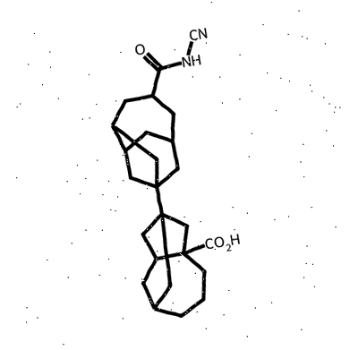 N#CNC(=O)C1CC2CC3CC(C45CC6CCCC(C(=O)O)(C4)C(C6)C5)(C2)CC3C1